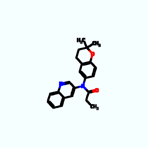 CCC(=O)N(c1ccc2c(c1)CCC(C)(C)O2)c1cnc2ccccc2c1